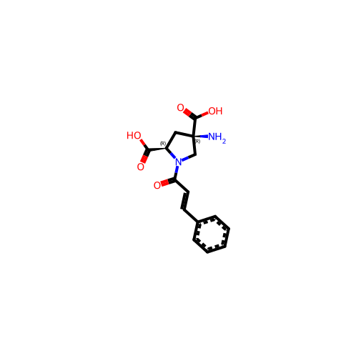 N[C@]1(C(=O)O)C[C@H](C(=O)O)N(C(=O)C=Cc2ccccc2)C1